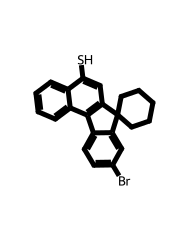 Sc1cc2c(c3ccccc13)-c1ccc(Br)cc1C21CCCCC1